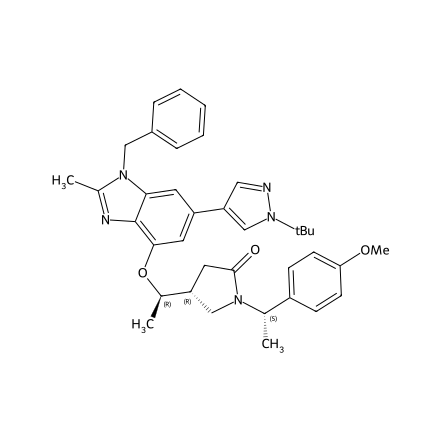 COc1ccc([C@H](C)N2C[C@H]([C@@H](C)Oc3cc(-c4cnn(C(C)(C)C)c4)cc4c3nc(C)n4Cc3ccccc3)CC2=O)cc1